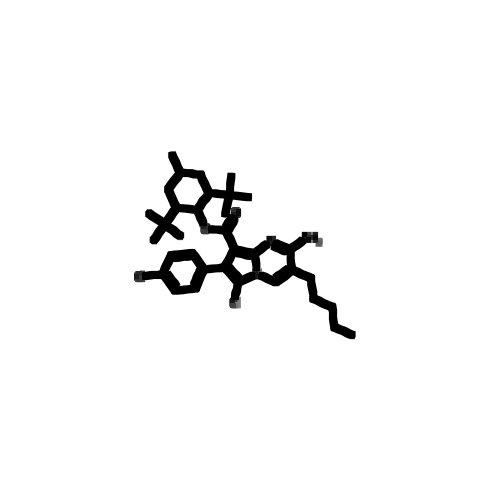 CCCCCc1cn2c(Cl)c(-c3ccc(Cl)cc3)c(C(=O)OC3C(C(C)(C)C)CC(C)CC3C(C)(C)C)c2nc1N